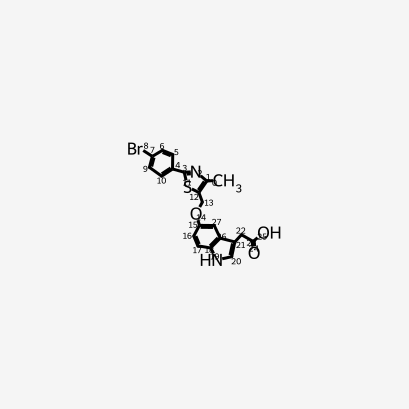 Cc1nc(-c2ccc(Br)cc2)sc1COc1ccc2[nH]cc(CC(=O)O)c2c1